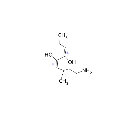 CC/C=C(O)\C(O)=C/C(C)CCN